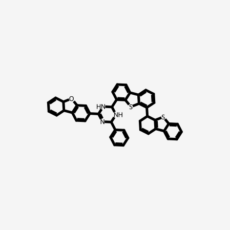 C1=CC2Oc3cc(C4=NC(c5ccccc5)NC(c5cccc6c5sc5c(C7CC=Cc8c7sc7ccccc87)cccc56)N4)ccc3C2C=C1